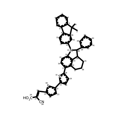 CC1(C)c2ccccc2-c2ccc(N3c4ccc(-c5ccc(-c6ccc(/C=C(\C#N)C(=O)O)s6)s5)c5c4C(CCC5)C3c3ccccc3)cc21